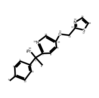 Cc1ccc(C(C)(c2ccc(OCc3nccs3)cn2)C(C)C)cc1